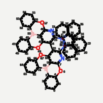 c1ccc2c(c1)Oc1nc(-n3c4ccccc4c4ccccc43)c(-c3c(-n4c5ccccc5c5ccccc54)nc4c5c3Oc3ccccc3B5c3ccccc3O4)c3c1B2c1ccccc1O3